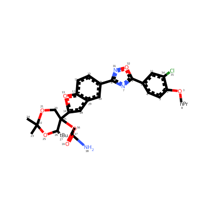 CCCOc1ccc(-c2nc(-c3ccc4oc(C5(OC(N)=O)COC(C)(C)OC5C(C)(C)C)cc4c3)no2)cc1Cl